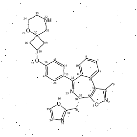 Cc1noc2c1-c1ccccc1C(c1ccc(OC3CC4(CNCCO4)C3)cc1)=N[C@H]2Cc1ncco1